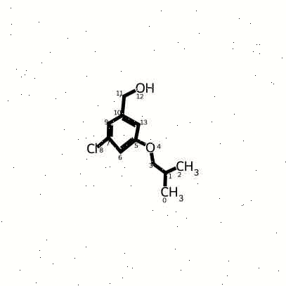 CC(C)COc1cc(Cl)cc([CH]O)c1